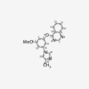 COc1cc(Oc2ncnc3ccccc23)cc(-n2cnc(C)c2)c1